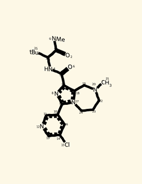 CNC(=O)C(NC(=O)c1nc(-c2cncc(Cl)c2)n2c1CN(C)CCC2)C(C)(C)C